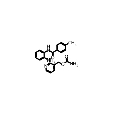 Cc1ccc(C(=O)Nc2ccccc2N)cc1.NC(=O)OCc1cccnc1